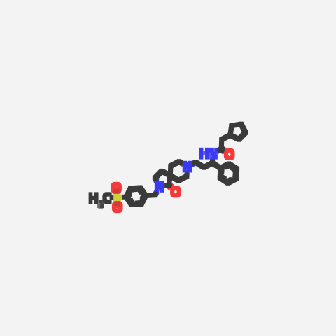 CS(=O)(=O)c1ccc(CN2CCC3(CCN(CCC(NC(=O)CC4CCCC4)c4ccccc4)CC3)C2=O)cc1